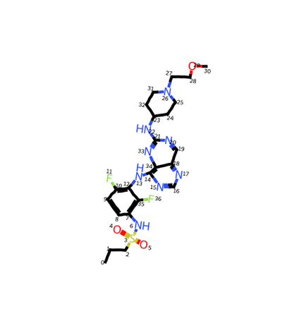 CCCS(=O)(=O)Nc1ccc(F)c(Nc2ncnc3cnc(NC4CCN(CCOC)CC4)nc23)c1F